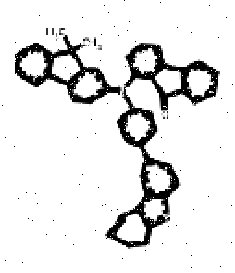 CC1(C)c2ccccc2-c2ccc(N(c3ccc(-c4ccc5sc6c(c5c4)C=CCC6)cc3)c3cccc4c3C(=O)c3ccccc3-4)cc21